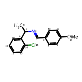 COc1ccc(C=NC(C)c2ccccc2Cl)cc1